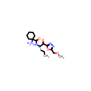 CCC[C@H](NC(=O)C1(N)CCCCC1)C(=O)c1nnc(COC)o1